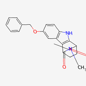 CN1C(=O)C2CCC(C1=O)c1c2[nH]c2ccc(OCc3ccccc3)cc12